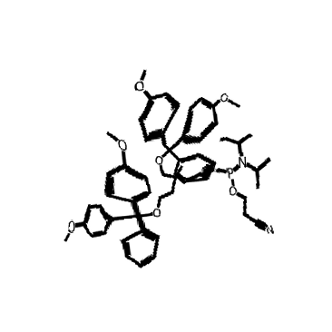 COc1ccc(C(OCCC(C)(COP(OCCC#N)N(C(C)C)C(C)C)COC(c2ccccc2)(c2ccc(OC)cc2)c2ccc(OC)cc2)(c2ccccc2)c2ccc(OC)cc2)cc1